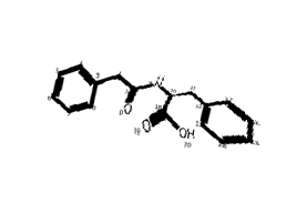 O=C(Cc1ccccc1)N[C@@H](Cc1ccccc1)C(=O)O